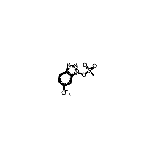 CS(=O)(=O)On1nnc2ccc(C(F)(F)F)cc21